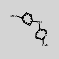 COc1ccc(Nc2cnc(OC)nc2)cc1